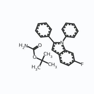 CC(C)(C)OC(N)=O.Fc1ccc2cc(-c3ccccc3)n(-c3ccccc3)c2c1